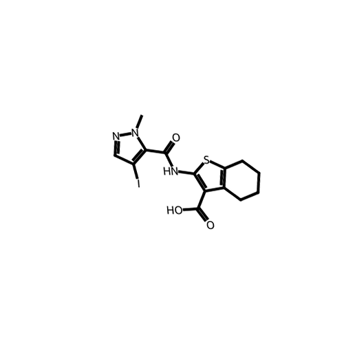 Cn1ncc(I)c1C(=O)Nc1sc2c(c1C(=O)O)CCCC2